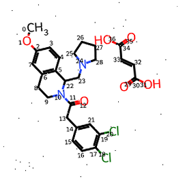 COc1ccc2c(c1)CCN(C(=O)Cc1ccc(Cl)c(Cl)c1)C2CN1CCCC1.O=C(O)C=CC(=O)O